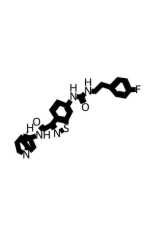 O=C(NCCc1ccc(F)cc1)Nc1ccc2c(C(=O)N[C@H]3CN4CCC3CC4)nsc2c1